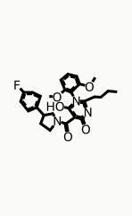 CCCCc1nc(=O)c(C(=O)N2CCC(c3ccc(F)cc3)C2)c(O)n1-c1c(OC)cccc1OC